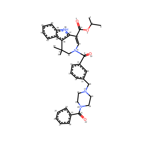 CC(C)OC(=O)C1=CN(C(=O)c2cccc(CN3CCN(C(=O)c4ccccc4)CC3)c2)CC(C)(C)c2c1[nH]c1ccccc21